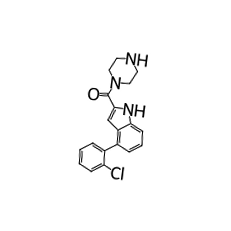 O=C(c1cc2c(-c3ccccc3Cl)cccc2[nH]1)N1CCNCC1